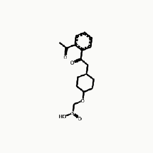 CC(=O)c1ccccc1C(=O)CC1CCC(OCS(=O)O)CC1